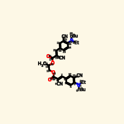 CCCCN(CC)c1ccc(/C=C(\C#N)C(=O)OCC(C)OC(=O)/C(C#N)=C/c2ccc(N(CC)CCCC)c(C#N)c2)cc1C#N